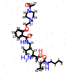 CCCCNC(=O)[C@@H](C[C@H](O)[C@@H](N)C[C@H](CNC(=O)c1ccccc1OCCN1CCN(C(C)=O)CC1)C(C)C)C(C)C